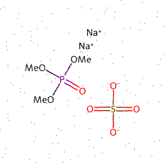 COP(=O)(OC)OC.O=S(=O)([O-])[O-].[Na+].[Na+]